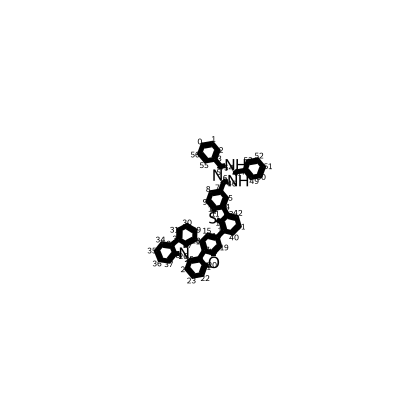 c1ccc(C2N=C(c3ccc4sc5c(-c6ccc7c(c6)oc6cccc(-n8c9ccccc9c9ccccc98)c67)cccc5c4c3)NC(c3ccccc3)N2)cc1